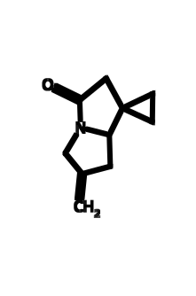 C=C1CC2N(C1)C(=O)CC21CC1